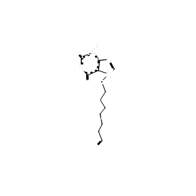 C=CCCCCCCC[N+]1(C)C=Nc2c1c(=O)[nH]c(=O)n2C